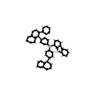 c1ccc(-c2ccc3ccccc3c2-c2ccc(N(c3ccc(-c4cccc5ccccc45)cc3)c3cccc4c3sc3ccccc34)cc2)cc1